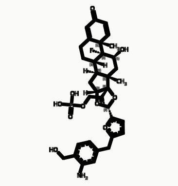 C[C@]12C=CC(=O)C=C1CC[C@H]1[C@@H]3C[C@H]4O[C@@H](c5ccc(Cc6ccc(CO)c(N)c6)o5)O[C@@]4(C(=O)COP(=O)(O)O)[C@@]3(C)C[C@H](O)[C@@]12F